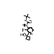 CC(C)(C)OC(=O)Nc1ccnc(C2(O)CCC2)c1F